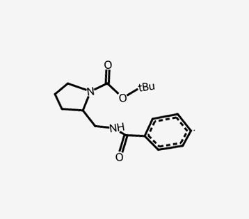 CC(C)(C)OC(=O)N1CCCC1CNC(=O)c1cc[c]cc1